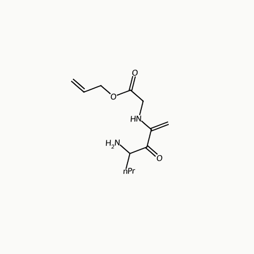 C=CCOC(=O)CNC(=C)C(=O)C(N)CCC